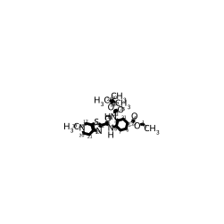 CCOC(=O)[C@@H]1CCC(NC(=O)c2nc3c(s2)CN(C)CC3)C(NC(=O)OC(C)(C)C)C1